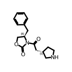 O=C(C[C@@H]1CCNC1)N1C(=O)OC[C@H]1Cc1ccccc1